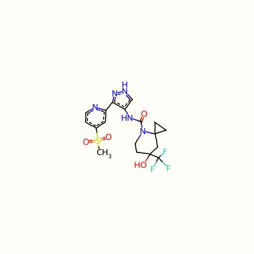 CS(=O)(=O)c1ccnc(-c2n[nH]cc2NC(=O)N2CCC(O)(C(F)(F)F)CC23CC3)c1